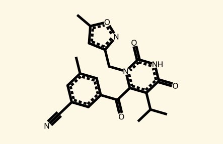 Cc1cc(C#N)cc(C(=O)c2c(C(C)C)c(=O)[nH]c(=O)n2Cc2cc(C)on2)c1